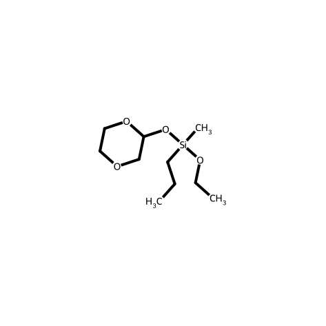 CCC[Si](C)(OCC)OC1COCCO1